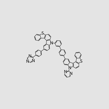 c1cnc(-n2c3ccc(-c4ccc(-c5cccc(-n6c7ccc(-c8ccc(-c9ncncn9)cc8)cc7c7c8c(ccc76)sc6ccccc68)c5)cc4)cc3c3c4c(ccc32)sc2ccccc24)nc1